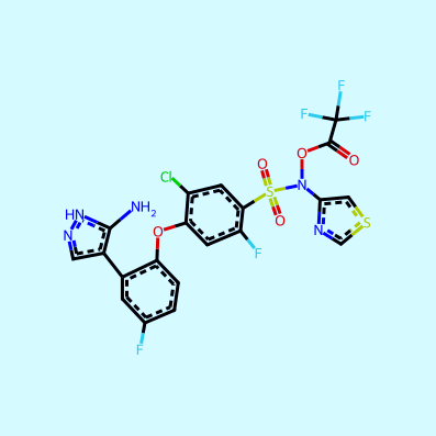 Nc1[nH]ncc1-c1cc(F)ccc1Oc1cc(F)c(S(=O)(=O)N(OC(=O)C(F)(F)F)c2cscn2)cc1Cl